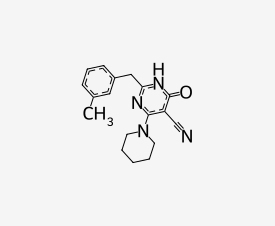 Cc1cccc(Cc2nc(N3CCCCC3)c(C#N)c(=O)[nH]2)c1